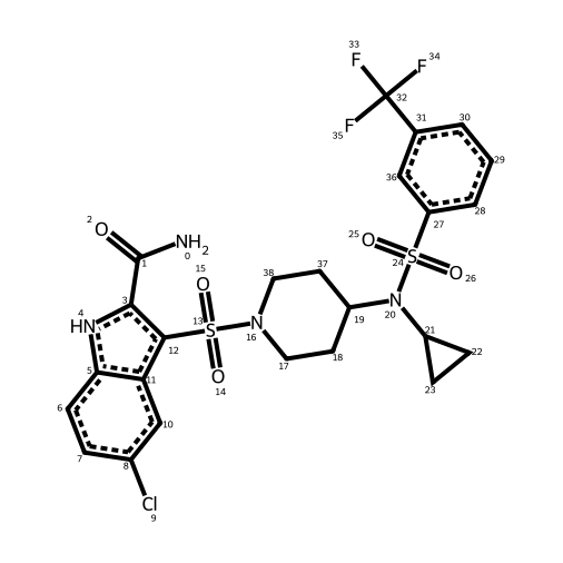 NC(=O)c1[nH]c2ccc(Cl)cc2c1S(=O)(=O)N1CCC(N(C2CC2)S(=O)(=O)c2cccc(C(F)(F)F)c2)CC1